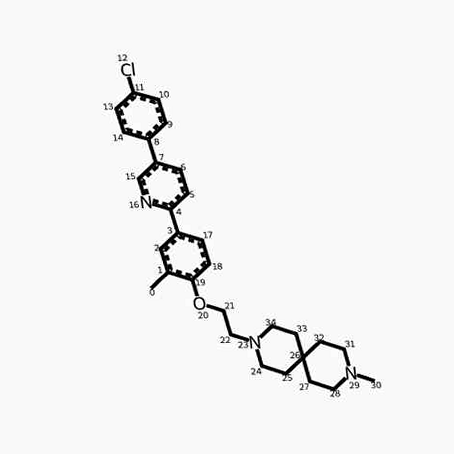 Cc1cc(-c2ccc(-c3ccc(Cl)cc3)cn2)ccc1OCCN1CCC2(CCN(C)CC2)CC1